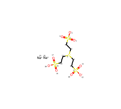 O=S(=O)([O-])CC[S+](CCS(=O)(=O)[O-])CCS(=O)(=O)[O-].[Na+].[Na+]